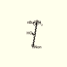 C=C(CCCCCCCN(CCO)CCCCCCCOCCCCCCCCC)OC(CCCC)CCCC